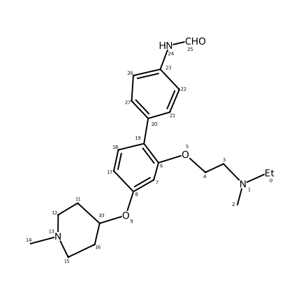 CCN(C)CCOc1cc(OC2CCN(C)CC2)ccc1-c1ccc(NC=O)cc1